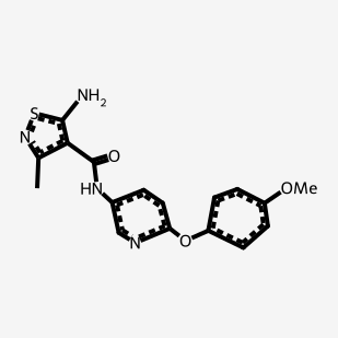 COc1ccc(Oc2ccc(NC(=O)c3c(C)nsc3N)cn2)cc1